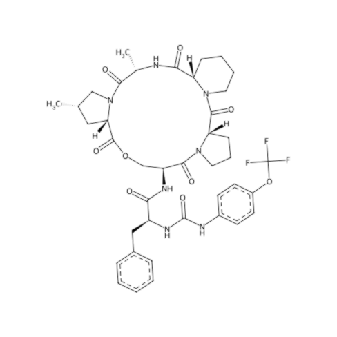 C[C@H]1C[C@H]2C(=O)OC[C@H](NC(=O)[C@H](Cc3ccccc3)NC(=O)Nc3ccc(OC(F)(F)F)cc3)C(=O)N3CCC[C@H]3C(=O)N3CCCC[C@H]3C(=O)N[C@@H](C)C(=O)N2C1